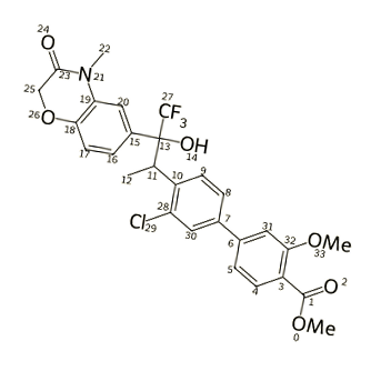 COC(=O)c1ccc(-c2ccc(C(C)C(O)(c3ccc4c(c3)N(C)C(=O)CO4)C(F)(F)F)c(Cl)c2)cc1OC